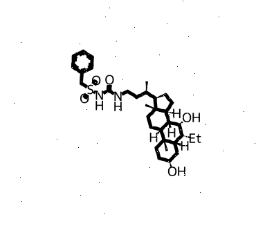 CC[C@H]1[C@@H](O)[C@@H]2[C@H](CC[C@]3(C)[C@@H]([C@H](C)CCNC(=O)NS(=O)(=O)Cc4ccccc4)CC[C@@H]23)[C@@]2(C)CC[C@@H](O)C[C@@H]12